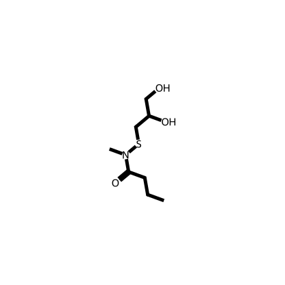 CCCC(=O)N(C)SCC(O)CO